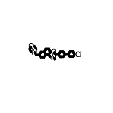 CN(Cc1cccc2cc(CN3CCOCC3)ccc12)C(=O)c1ccc(-c2ccc(Cl)cc2)cc1